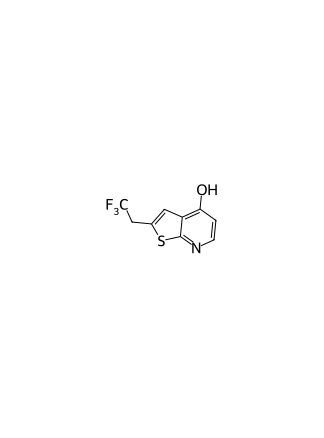 Oc1ccnc2sc(CC(F)(F)F)cc12